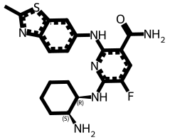 Cc1nc2ccc(Nc3nc(N[C@@H]4CCCC[C@@H]4N)c(F)cc3C(N)=O)cc2s1